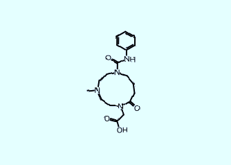 CN1CCN(CC(=O)O)C(=O)CCCN(C(=O)Nc2ccccc2)CC1